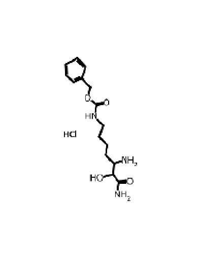 Cl.NC(=O)C(O)C(N)CCCCNC(=O)OCc1ccccc1